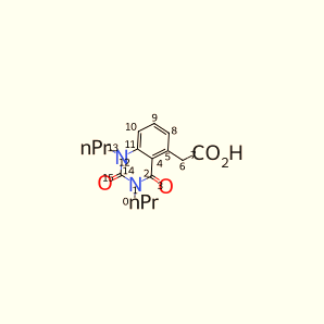 CCCn1c(=O)c2c(CC(=O)O)cccc2n(CCC)c1=O